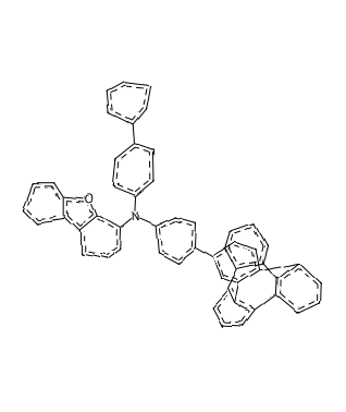 c1ccc(-c2ccc(N(c3ccc(-c4ccc5c(c4)-c4c6cccc4-c4cccc-5c4-c4ccccc4-6)cc3)c3cccc4c3oc3ccccc34)cc2)cc1